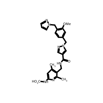 COc1cc(Cn2cc(C(=O)NCc3c(C)cc(NC(=O)O)nc3C)cn2)ccc1Cn1cccn1